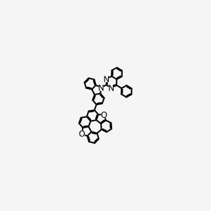 c1ccc(-c2nc(-n3c4ccccc4c4cc(-c5cc6ccc7oc8cccc9c8c7c6c6c5oc5cccc-9c56)ccc43)nc3ccccc23)cc1